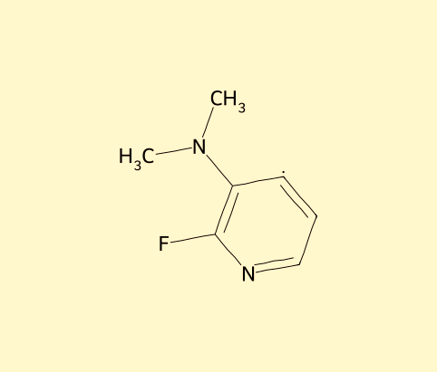 CN(C)c1[c]ccnc1F